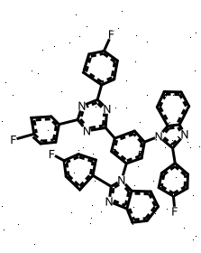 Fc1ccc(-c2nc(-c3ccc(F)cc3)nc(-c3cc(-n4c(-c5ccc(F)cc5)nc5ccccc54)cc(-n4c(-c5ccc(F)cc5)nc5ccccc54)c3)n2)cc1